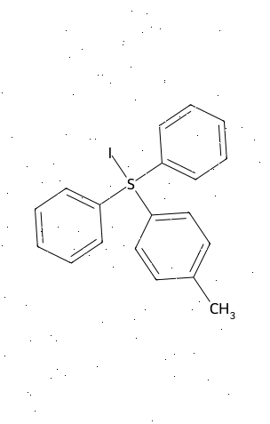 Cc1ccc(S(I)(c2ccccc2)c2ccccc2)cc1